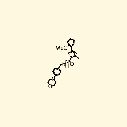 COc1ccccc1-c1nc(C)c(C(=O)N/N=C/c2ccc(N3CCOCC3)cc2)s1